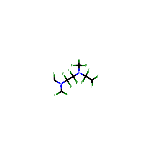 FCN(C(F)F)C(F)(F)C(F)(F)N(C(F)(F)F)C(F)(F)C(F)F